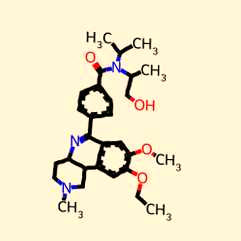 CCOc1cc2c(cc1OC)C(c1ccc(C(=O)N(C(C)C)C(C)CO)cc1)=NC1CCN(C)CC21